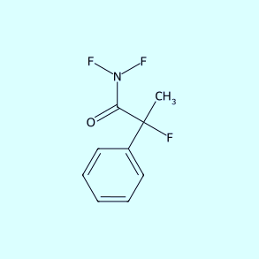 CC(F)(C(=O)N(F)F)c1ccccc1